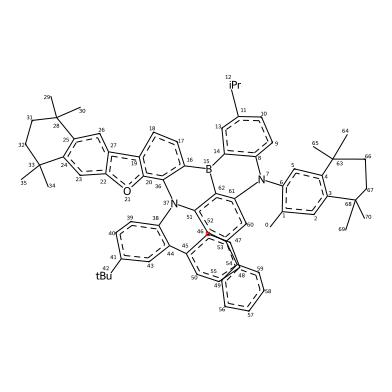 Cc1cc2c(cc1N1c3ccc(C(C)C)cc3B3c4ccc5c(oc6cc7c(cc65)C(C)(C)CCC7(C)C)c4N(c4ccc(C(C)(C)C)cc4-c4ccccc4)c4cc(-c5ccccc5)cc1c43)C(C)(C)CCC2(C)C